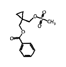 CS(=O)(=O)OCC1(COC(=O)c2ccccc2)CC1